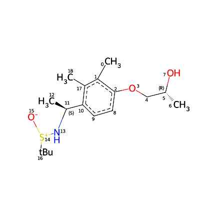 Cc1c(OC[C@@H](C)O)ccc([C@H](C)N[S+]([O-])C(C)(C)C)c1C